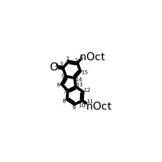 CCCCCCCCC1=CC(=O)C2=Cc3ccc(CCCCCCCC)cc3C2=C1